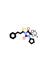 CC1(C)C(=O)N(C(S)CCc2ccccc2)C(=O)N1C1CCCC1